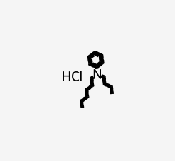 CCCCCCN(CCCC)c1ccccc1.Cl